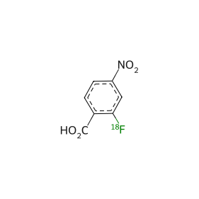 O=C(O)c1ccc([N+](=O)[O-])cc1[18F]